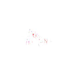 CC1c2cccc(OS(=O)(=O)C(F)(F)F)c2C(=O)C2=C(O)[C@]3(O)C(=O)C(C(N)=O)=C(O)C(N(C)C)C3C(O)C21